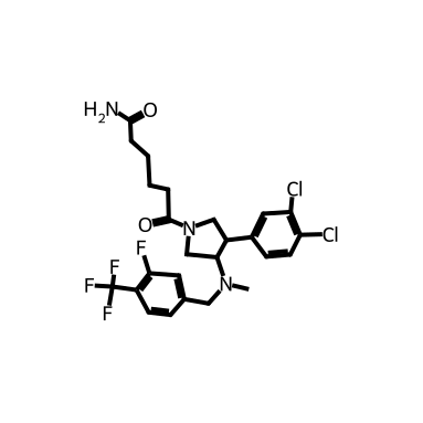 CN(Cc1ccc(C(F)(F)F)c(F)c1)C1CN(C(=O)CCCCC(N)=O)CC1c1ccc(Cl)c(Cl)c1